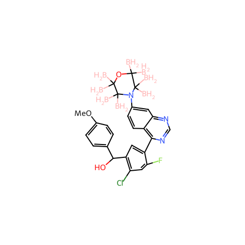 BC1(B)OC(B)(B)C(B)(B)N(c2ccc3c(-c4cc(C(O)c5ccc(OC)cc5)c(Cl)cc4F)ncnc3c2)C1(B)B